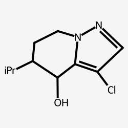 CC(C)C1CCn2ncc(Cl)c2C1O